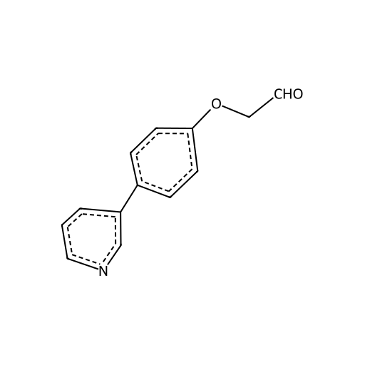 O=CCOc1ccc(-c2cccnc2)cc1